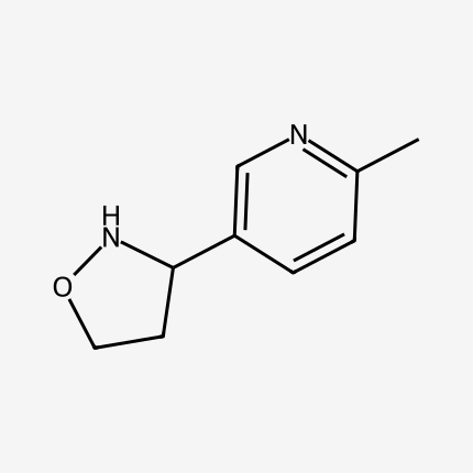 Cc1ccc(C2CCON2)cn1